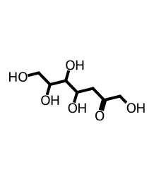 O=C(CO)CC(O)C(O)C(O)CO